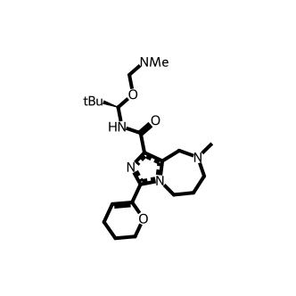 CNCO[C@@H](NC(=O)c1nc(C2=CCCCO2)n2c1CN(C)CCC2)C(C)(C)C